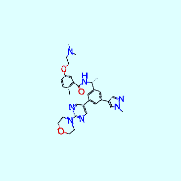 Cc1ccc(OCCN(C)C)cc1C(=O)N[C@H](C)c1cc(-c2cnc(N3CCOCC3)nc2)cc(-c2cnn(C)c2)c1